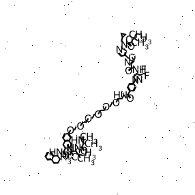 CN[C@@H](C)C(=O)N[C@H](C(=O)N1Cc2cc(OCCOCCOCCOCCOCCOCCNC(=O)c3ccc(-n4cc(NC(=O)c5coc(-c6ccnc(N(CC7CC7)C(=O)OC(C)(C)C)c6)n5)c(C(F)F)n4)cc3)ccc2CC1C(=O)N[C@@H]1CCCc2ccccc21)C(C)(C)C